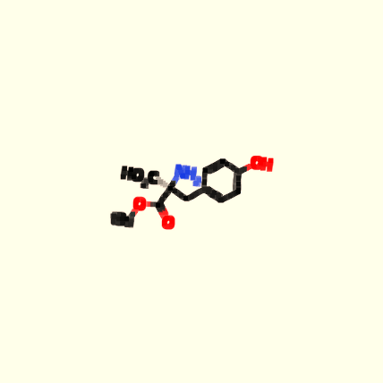 CC(C)(C)OC(=O)[C@@](N)(Cc1ccc(O)cc1)C(=O)O